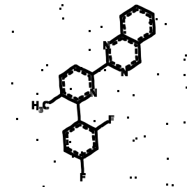 Cc1ccc(-c2ncc3ccccc3n2)nc1-c1ccc(F)cc1F